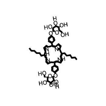 CCCCCCc1c2nc(c(-c3ccc(O[C@@H]4OC(CO)[C@@H](O)C(O)C4O)cc3)c3ccc([nH]3)c(CCCCCC)c3nc(c(-c4ccc(OC5O[C@H](CO)C(O)C(O)[C@H]5O)cc4)c4ccc1[nH]4)C=C3)C=C2